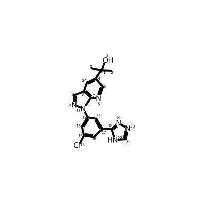 CC(C)(O)c1cnc2c(cnn2-c2cc(Cl)cc(-c3nnc[nH]3)c2)c1